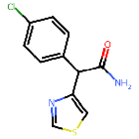 NC(=O)C(c1ccc(Cl)cc1)c1cscn1